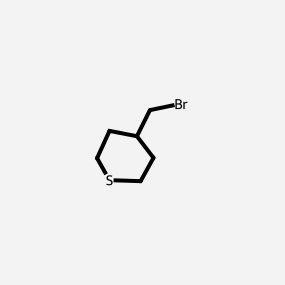 BrCC1CCSCC1